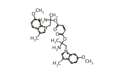 COc1ccc2c(C)cn(CC(C)(N)OC(=O)/C=C\C(=O)OC(C)(N)Cn3cc(C)c4ccc(OC)cc43)c2c1